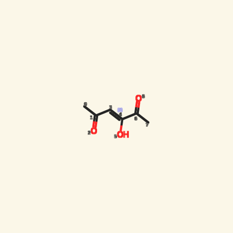 CC(=O)/C=C(\O)C(C)=O